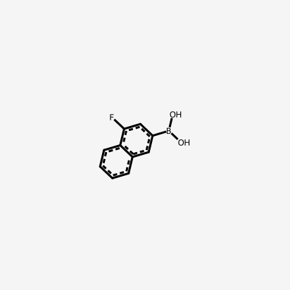 OB(O)c1cc(F)c2ccccc2c1